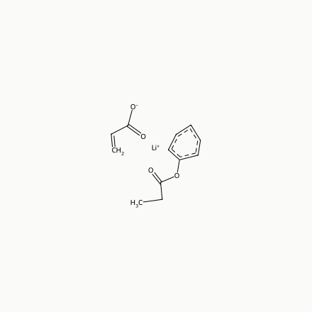 C=CC(=O)[O-].CCC(=O)Oc1ccccc1.[Li+]